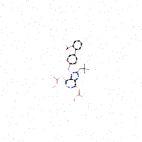 COC(C)Oc1nnc(OC(C)OC)c2c1nc(CC(C)(C)C)n2Cc1ccc(-c2ccccc2C(=O)O)cc1